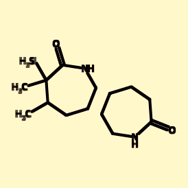 CC1CCCNC(=O)C1(C)[SiH3].O=C1CCCCCN1